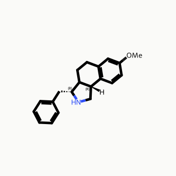 COc1ccc2c(c1)CCC1[C@@H](Cc3ccccc3)NC[C@@H]21